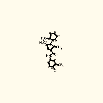 Cc1cc(C(=O)Nc2ccc(Cl)c(C(F)(F)F)c2)c(C)n1-c1ccccc1C(F)(F)F